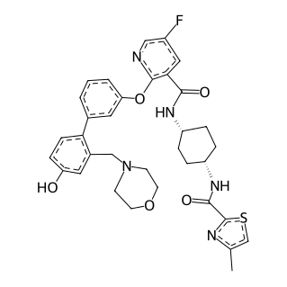 Cc1csc(C(=O)N[C@H]2CC[C@@H](NC(=O)c3cc(F)cnc3Oc3cccc(-c4ccc(O)cc4CN4CCOCC4)c3)CC2)n1